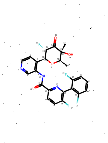 C[C@H]1O[C@@H](c2ccncc2NC(=O)c2ccc(F)c(-c3c(F)cccc3F)n2)[C@H](F)C(=O)[C@]1(C)O